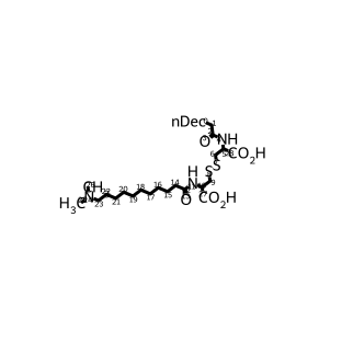 CCCCCCCCCCCC(=O)NC(CSSCC(NC(=O)CCCCCCCCCCN(C)C)C(=O)O)C(=O)O